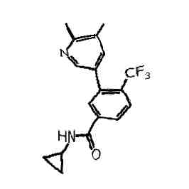 Cc1cc(-c2cc(C(=O)NC3CC3)ccc2C(F)(F)F)cnc1C